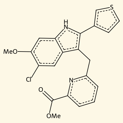 COC(=O)c1cccc(Cc2c(-c3ccsc3)[nH]c3cc(OC)c(Cl)cc23)n1